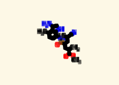 C=C(/C=C(\C=C(/C)C#N)[S+]([O-])Nc1ccc(C)c2c(N)c[nH]c12)C(=O)OC